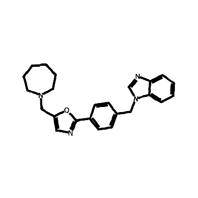 c1ccc2c(c1)ncn2Cc1ccc(-c2ncc(CN3CCCCCC3)o2)cc1